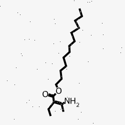 CCCCCCCCCCCCCOC(=O)C(CC)=C(C)N